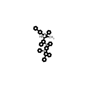 CC1C2C(c3cc(-n4c5ccccc5c5cc6c7c8ccccc8c(-c8ccccc8)cc7n(-c7ccccc7)c6cc54)c4ccccc4c3)NC(c3ccc(-c4ccccc4)cc3)=NC12c1ccccc1